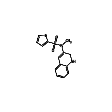 CN(C1=Cc2ccccc2NC1)S(=O)(=O)c1cccs1